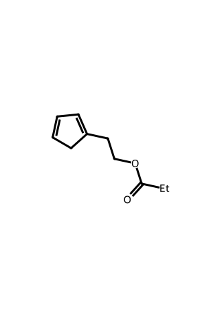 CCC(=O)OCCC1=CC=CC1